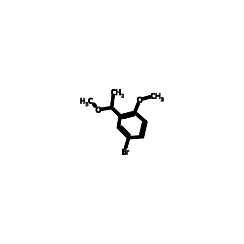 COc1ccc(Br)cc1C(C)OC